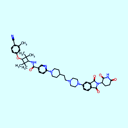 Cc1cc(OC2C(C)(C)C(NC(=O)c3ccc(N4CCC(CCN5CCN(c6ccc7c(c6)C(=O)N(C6CCC(=O)NC6=O)C7=O)CC5)CC4)nc3)C2(C)C)ccc1C#N